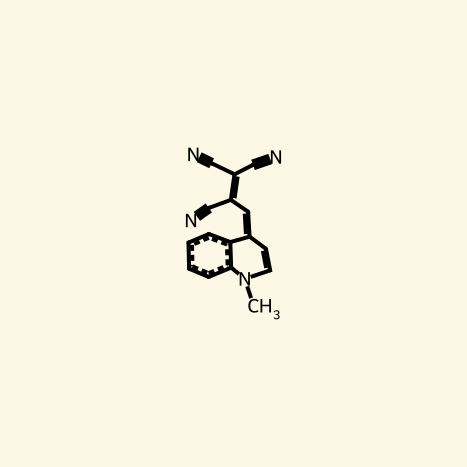 CN1C=C/C(=C/C(C#N)=C(C#N)C#N)c2ccccc21